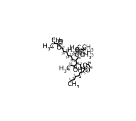 CCCCCCCC1(CC[C@H]([C@@H](CCCCCCOC(=O)C(C)C)CO[Si](C)(C)C(C)(C)C)[C@H](O)CC)OCCO1